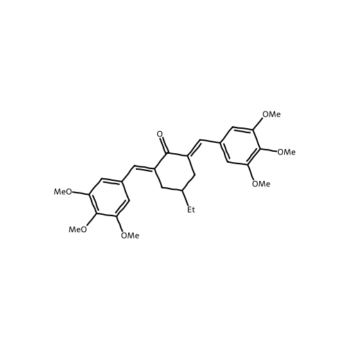 CCC1C/C(=C\c2cc(OC)c(OC)c(OC)c2)C(=O)/C(=C/c2cc(OC)c(OC)c(OC)c2)C1